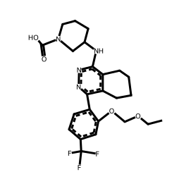 CCOCOc1cc(C(F)(F)F)ccc1-c1nnc(NC2CCCN(C(=O)O)C2)c2c1CCCC2